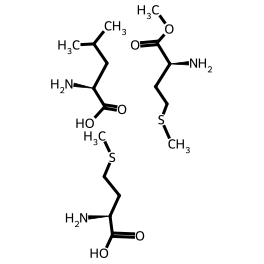 CC(C)C[C@H](N)C(=O)O.COC(=O)[C@@H](N)CCSC.CSCC[C@H](N)C(=O)O